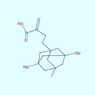 C=C(CCC12CC3(C)CC(O)(CC(O)(C3)C1)C2)C(=O)O